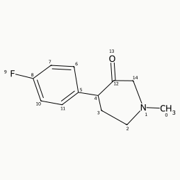 CN1CCC(c2ccc(F)cc2)C(=O)C1